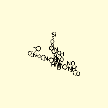 Cc1ccccc1[C@@H]1COCCN1C1CC2(CCN(c3ccc(C(=O)NS(=O)(=O)c4ccc(NCC5CCOCC5)c([N+](=O)[O-])c4)c(N4c5cc6ccn(COCC[Si](C)(C)C)c6nc5O[C@@H]5COC[C@H]54)c3)CC2)C1